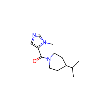 CC(C)C1CCN(C(=O)c2cncn2C)CC1